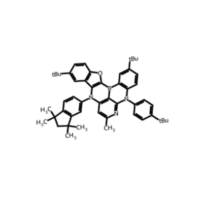 Cc1cc2c3c(n1)N(c1ccc(C(C)(C)C)cc1)c1ccc(C(C)(C)C)cc1B3c1oc3ccc(C(C)(C)C)cc3c1N2c1ccc2c(c1)C(C)(C)CC2(C)C